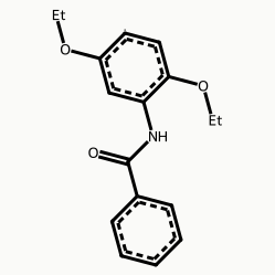 CCOc1[c]cc(OCC)c(NC(=O)c2ccccc2)c1